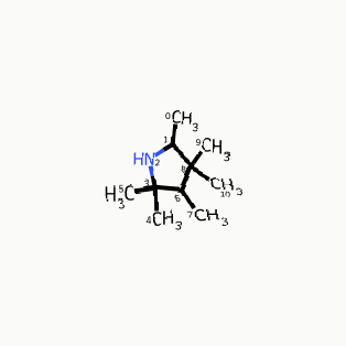 CC1NC(C)(C)C(C)C1(C)C